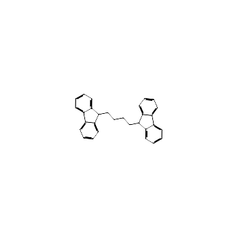 c1ccc2c(c1)-c1ccccc1C2CCCCC1c2ccccc2-c2ccccc21